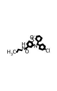 CCCCNC(=O)c1ccc2c(c1)N=C(c1ccc(Cl)cc1)C1C=CC=CC1[S+]2[O-]